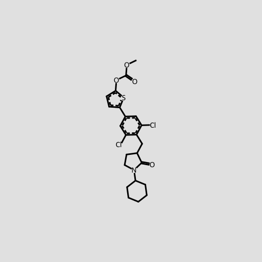 COC(=O)Oc1ccc(-c2cc(Cl)c(CC3CCN(C4CCCCC4)C3=O)c(Cl)c2)s1